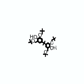 CC(C)(C)COc1cc(C(C)(C)c2cc(COC(C)(C)C)c(O)c(OCC(C)(C)C)c2)cc(COC(C)(C)C)c1O